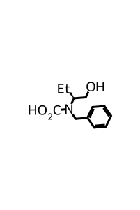 CC[C@@H](CO)N(Cc1ccccc1)C(=O)O